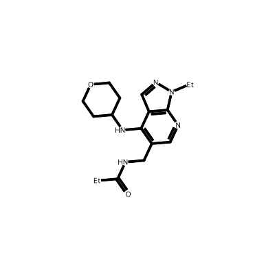 CCC(=O)NCc1cnc2c(cnn2CC)c1NC1CCOCC1